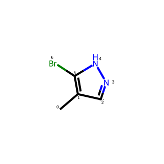 Cc1[c]n[nH]c1Br